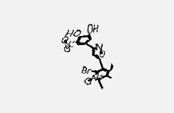 Cc1c(C)c(C)[n+]([O-])c(Br)c1-c1cc(-c2cc(O)c(O)c([N+](=O)[O-])c2)no1